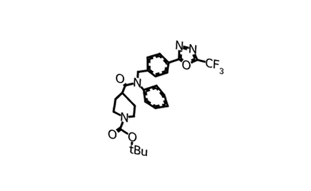 CC(C)(C)OC(=O)N1CCC(C(=O)N(Cc2ccc(-c3nnc(C(F)(F)F)o3)cc2)c2ccccc2)CC1